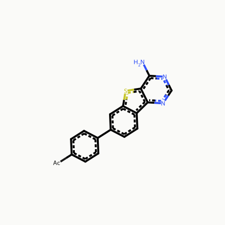 CC(=O)c1ccc(-c2ccc3c(c2)sc2c(N)ncnc23)cc1